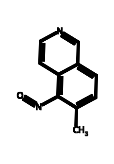 Cc1ccc2cnccc2c1N=O